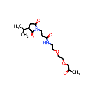 CC(=O)COCCOCCNC(=O)CCN1C(=O)CC(C(C)C)C1=O